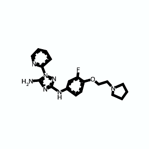 Nc1nc(Nc2ccc(OCCN3CCCC3)c(F)c2)nn1-c1ccccn1